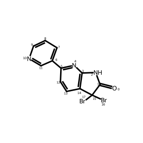 O=C1Nc2nc(-c3cccnc3)ccc2C1(Br)Br